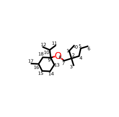 [CH2]CC(C)(CCC)COC1(C(C)C)CCCC(C)C1